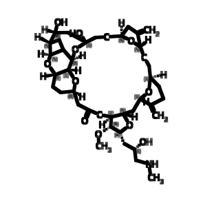 C=C1C[C@@H]2CC[C@@]3(O)C[C@@H](O)[C@@H]4CC5[C@H]4O[C@H]4CC[C@H](CC(=O)C[C@@H]6[C@@H](OC)[C@@H](C[C@H](O)CNC)O[C@H]6C[C@H]6O[C@H](CCC6=C)CC[C@@H]1O2)O[C@@H]4[C@@H]5O3